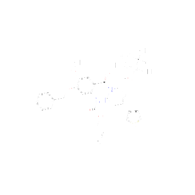 C=CCOC(=O)Nc1cc(OCc2ccccc2)c(OC)cc1C(=O)N1CCC(c2ccsc2)=C[C@H]1CO[Si](C)(C)C(C)(C)C